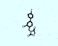 O=C1COC(=O)N1Cc1ccc(-c2ccc(F)cc2)cc1Cl